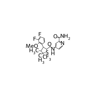 COc1c(C2C(C(=O)Nc3ccnc(C(N)=O)c3)SC(C)(C(F)(F)F)C2C)ccc(F)c1F